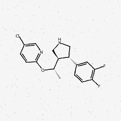 C[C@H](Oc1ccc(Cl)cn1)[C@H]1CNC[C@@H]1c1ccc(F)c(F)c1